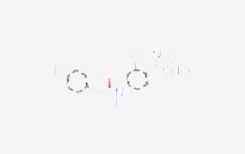 O=CC(c1ccc(NC(=O)Cc2ccc(F)cc2)cc1Cl)[N+](=O)[O-]